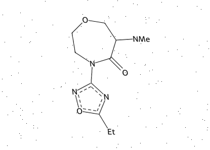 CCc1nc(N2CCOCC(NC)C2=O)no1